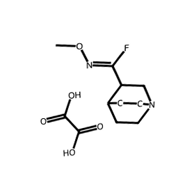 CON=C(F)C1CN2CCC1CC2.O=C(O)C(=O)O